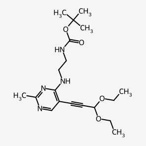 CCOC(C#Cc1cnc(C)nc1NCCNC(=O)OC(C)(C)C)OCC